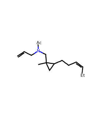 C=CCN(CC1(C)CC1CC/C=C\CC)C(C)=O